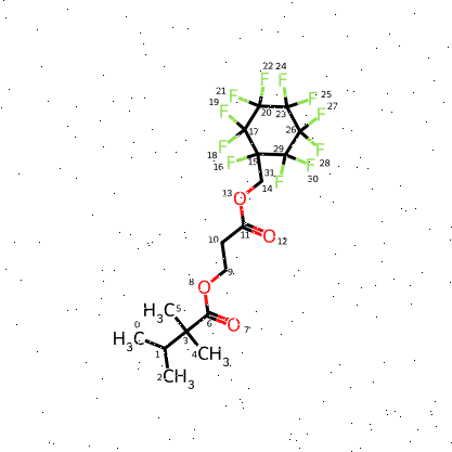 CC(C)C(C)(C)C(=O)OCCC(=O)OCC1(F)C(F)(F)C(F)(F)C(F)(F)C(F)(F)C1(F)F